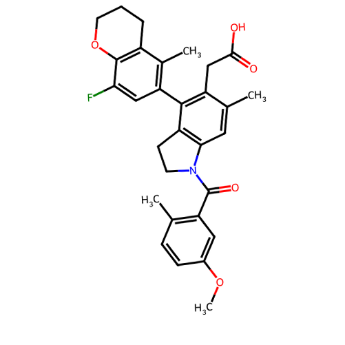 COc1ccc(C)c(C(=O)N2CCc3c2cc(C)c(CC(=O)O)c3-c2cc(F)c3c(c2C)CCCO3)c1